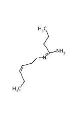 CC/C=C\CC/N=C(/N)CCC